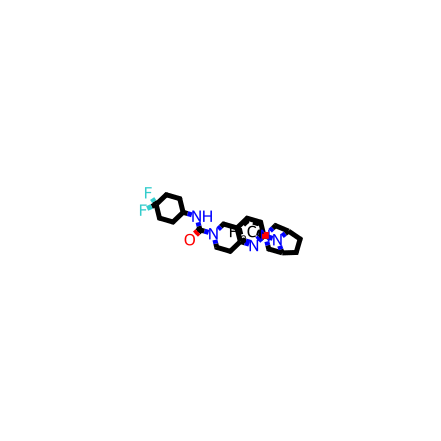 CN1CC2CCC(C1)N2c1ccc2c(n1)CCN(C(=O)NC1CCC(F)(F)CC1)C2